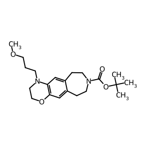 COCCCN1CCOc2cc3c(cc21)CCN(C(=O)OC(C)(C)C)CC3